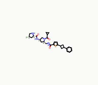 O=C(NC[C@H]1C[C@@H](NC(=O)[C@@H]2C[C@H](F)CN2)CN1C(=O)C1CC1)c1ccc(C2CC(c3ccccc3)C2)s1